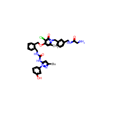 Cc1cc(OCc2ccccc2CNC(=O)Nc2cc(C(C)(C)C)nn2-c2cccc(O)c2)c(Cl)c(=O)n1Cc1cccc(CNC(=O)CN)c1